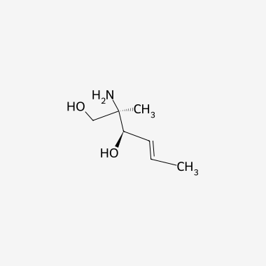 C/C=C/[C@@H](O)[C@](C)(N)CO